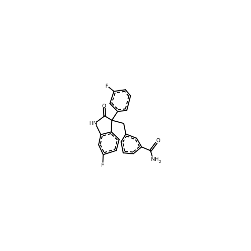 NC(=O)c1cccc(CC2(c3cccc(F)c3)C(=O)Nc3cc(F)ccc32)c1